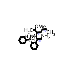 C=C(OC)/C(=C\C=C/C)N(N)/C(=C\N)c1ccccc1Bc1ccccc1